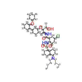 CCCCN(CCCC)c1cccc2c(S(=O)(=O)Nc3ccc(Cl)cc3C(=O)N[C@@H](Cc3ccc(-c4ccccc4Oc4ccccc4)cc3)C(=O)C(C)O)cccc12